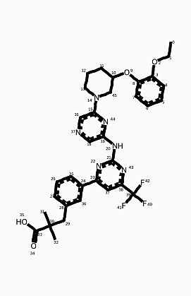 CCOc1ccccc1OC1CCCN(c2cncc(Nc3nc(-c4cccc(CC(C)(C)C(=O)O)c4)cc(C(F)(F)F)n3)n2)C1